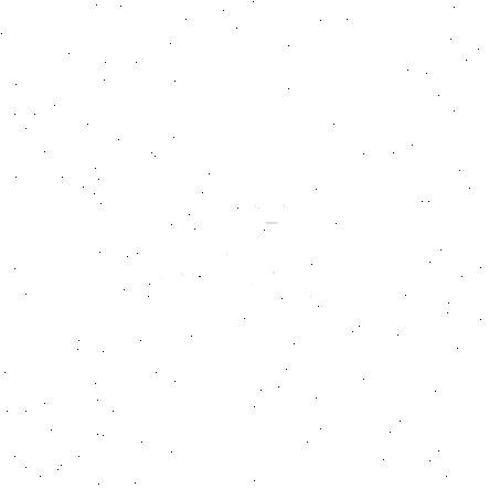 CCCC(Cl)n1cnc(-c2cn(-c3ccc(C(F)(F)F)cc3)c3ccc(S(=O)(=O)NC)cc23)c1